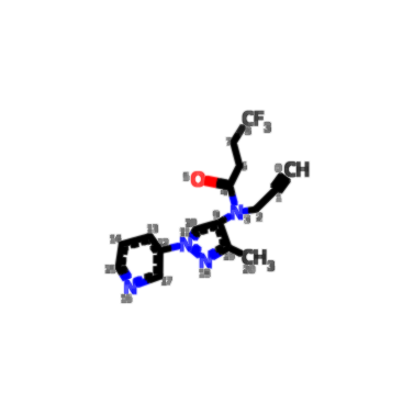 C#CCN(C(=O)CCC(F)(F)F)c1cn(-c2cccnc2)nc1C